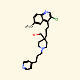 COc1ccc2ncc(Cl)c(CCCC3(CO)CCN(CCCc4ccncc4)CC3)c2c1